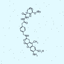 Cc1c(CC(=O)NCc2ccc(CC(=O)NNC(=O)[C@@H](CC(C)C)NC(=O)OC(C)(C)C)cc2)c(=O)oc2cc(N)c(S(=O)(=O)O)cc12